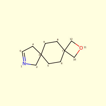 C1=NCC2(C1)CCC1(CC2)COC1